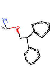 N[SiH2]OCC(c1ccccc1)c1ccccc1